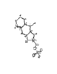 CC1C2CCCN=C2CC2CN(COS(C)(=O)=O)CC21